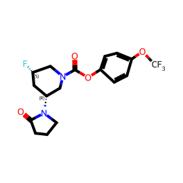 O=C(Oc1ccc(OC(F)(F)F)cc1)N1C[C@@H](F)C[C@@H](N2CCCC2=O)C1